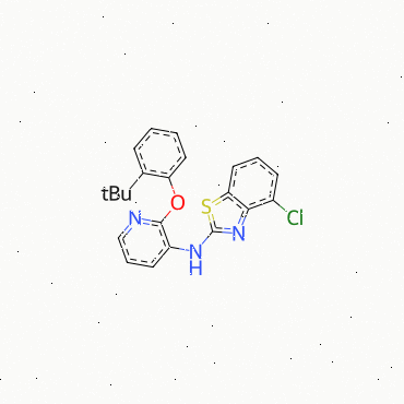 CC(C)(C)c1ccccc1Oc1ncccc1Nc1nc2c(Cl)cccc2s1